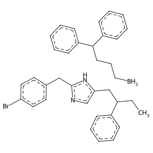 BCCCC(c1ccccc1)c1ccccc1.CCC(Cc1cnc(Cc2ccc(Br)cc2)[nH]1)c1ccccc1